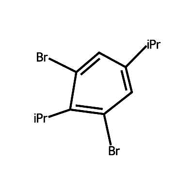 CC(C)c1cc(Br)c(C(C)C)c(Br)c1